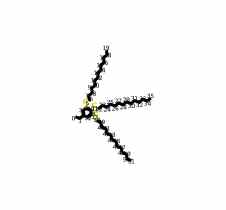 [CH2]Cc1cc(SCCCCCCCCCCCCCC)c(SCCCCCCCCCCCCCC)c(SCCCCCCCCCCCCCC)c1